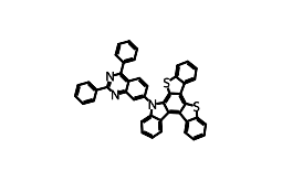 c1ccc(-c2nc(-c3ccccc3)c3ccc(-n4c5ccccc5c5c6c7ccccc7sc6c6c7ccccc7sc6c54)cc3n2)cc1